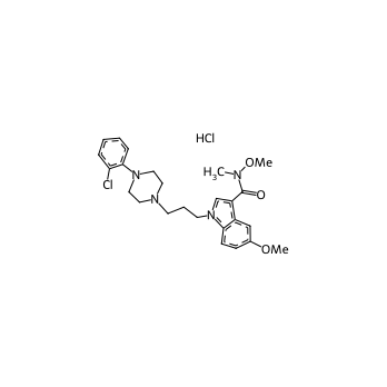 COc1ccc2c(c1)c(C(=O)N(C)OC)cn2CCCN1CCN(c2ccccc2Cl)CC1.Cl